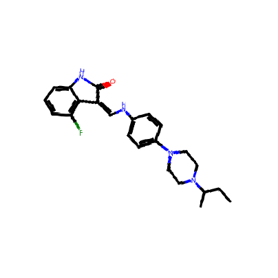 CCC(C)N1CCN(c2ccc(NC=C3C(=O)Nc4cccc(F)c43)cc2)CC1